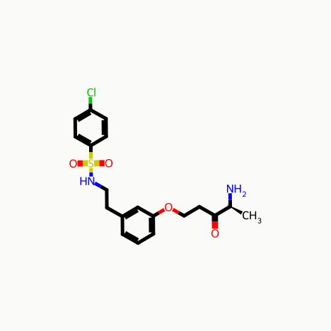 C[C@H](N)C(=O)CCOc1cccc(CCNS(=O)(=O)c2ccc(Cl)cc2)c1